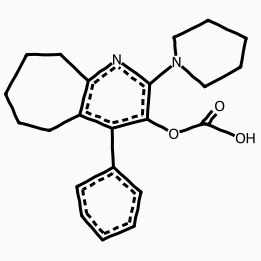 O=C(O)Oc1c(N2CCCCC2)nc2c(c1-c1ccccc1)CCCCC2